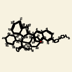 COc1ccc2cc(-c3nc4ccccc4n3C(C(N)=O)(C3CCCCC3)C3CCCCC3)ccc2c1